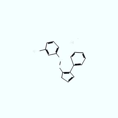 CC(C)(C)c1cccc([O][Ti][C]2=C(c3ccccc3)C=CC2)c1.Cl.Cl